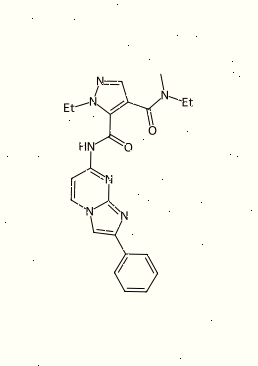 CCN(C)C(=O)c1cnn(CC)c1C(=O)Nc1ccn2cc(-c3ccccc3)nc2n1